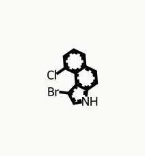 Clc1cccc2ccc3[nH]cc(Br)c3c12